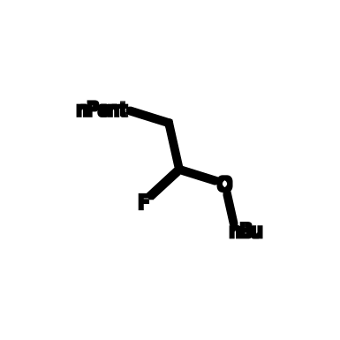 CCCCCCC(F)OCCCC